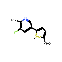 N#Cc1ncc(-c2ccc(C=O)s2)cc1F